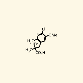 COc1cc(CC(C)(C(=O)O)C(C)C)c(C)nc1Cl